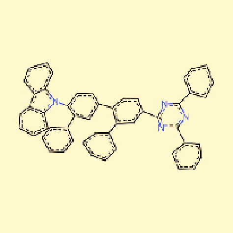 c1ccc(-c2nc(-c3ccccc3)nc(-c3ccc(-c4ccc(-n5c6ccccc6c6ccccc65)c(-c5ccccc5)c4)c(-c4ccccc4)c3)n2)cc1